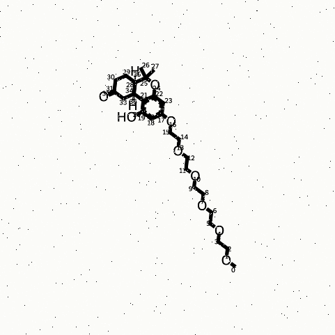 COCCOCCOCCOCCOCCOc1cc(O)c2c(c1)OC(C)(C)[C@@H]1CCC(=O)C[C@@H]21